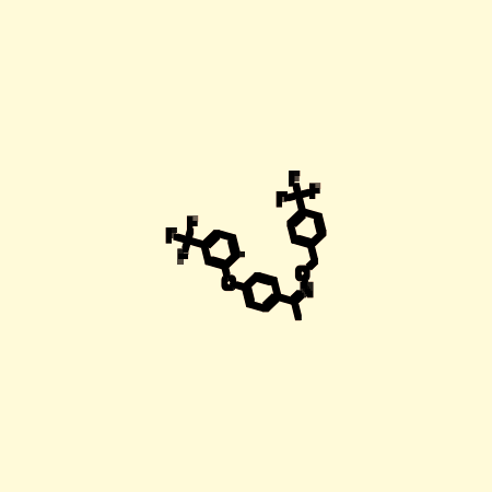 CC(=NOCc1ccc(C(F)(F)F)cc1)c1ccc(Oc2[c]ccc(C(F)(F)F)c2)cc1